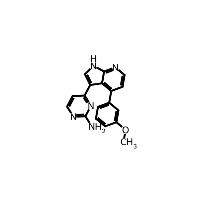 COc1cccc(-c2ccnc3[nH]cc(-c4ccnc(N)n4)c23)c1